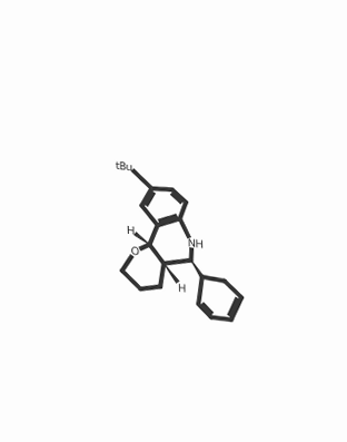 CC(C)(C)c1ccc2c(c1)[C@H]1OCCC[C@H]1[C@H](C1C=CC=CC1)N2